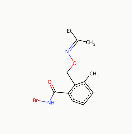 CCC(C)=NOCc1c(C)cccc1C(=O)NBr